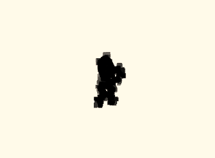 N#Cc1ccc(N2CN=CC3=C2CC2CCC3N2)cc1Br